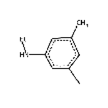 CCNc1cc(C)cc(I)c1